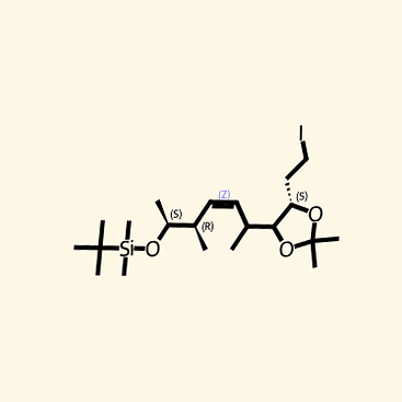 CC(/C=C\[C@@H](C)[C@H](C)O[Si](C)(C)C(C)(C)C)C1OC(C)(C)O[C@H]1CCI